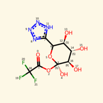 O=C(O[C@@]1(O)OC(c2nnn[nH]2)[C@@H](O)[C@H](O)[C@H]1O)C(F)(F)F